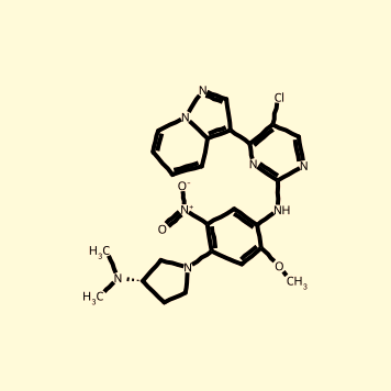 COc1cc(N2CC[C@H](N(C)C)C2)c([N+](=O)[O-])cc1Nc1ncc(Cl)c(-c2cnn3ccccc23)n1